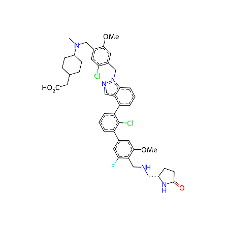 COc1cc(Cn2ncc3c(-c4cccc(-c5cc(F)c(CNC[C@@H]6CCC(=O)N6)c(OC)c5)c4Cl)cccc32)c(Cl)cc1CN(C)C1CCC(CC(=O)O)CC1